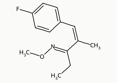 CCC(=NOC)C(C)=Cc1ccc(F)cc1